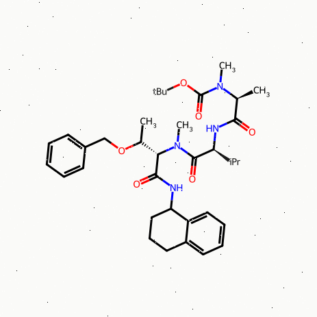 CC(C)[C@H](NC(=O)[C@H](C)N(C)C(=O)OC(C)(C)C)C(=O)N(C)[C@H](C(=O)NC1CCCc2ccccc21)C(C)OCc1ccccc1